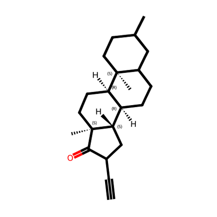 C#CC1C[C@H]2[C@@H]3CCC4CC(C)CC[C@]4(C)[C@@H]3CC[C@]2(C)C1=O